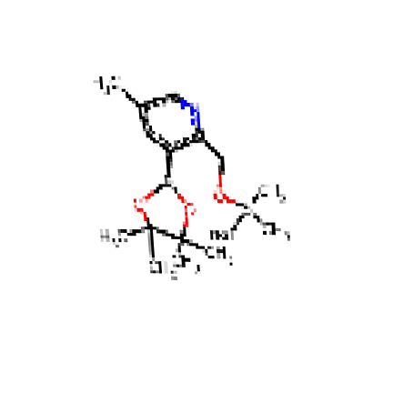 Cc1cnc(CO[Si](C)(C)C(C)(C)C)c(B2OC(C)(C)C(C)(C)O2)c1